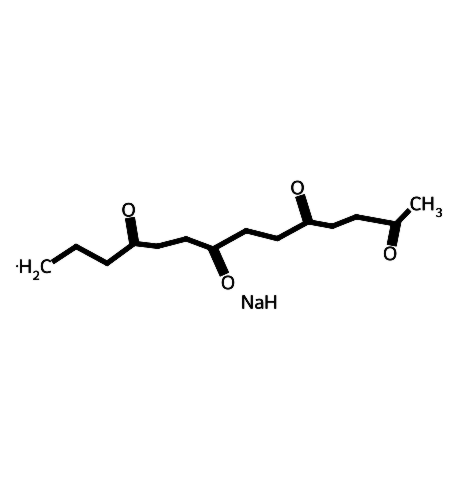 [CH2]CCC(=O)CCC(=O)CCC(=O)CCC(C)=O.[NaH]